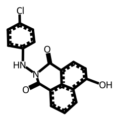 O=C1c2cccc3c(O)ccc(c23)C(=O)N1Nc1ccc(Cl)cc1